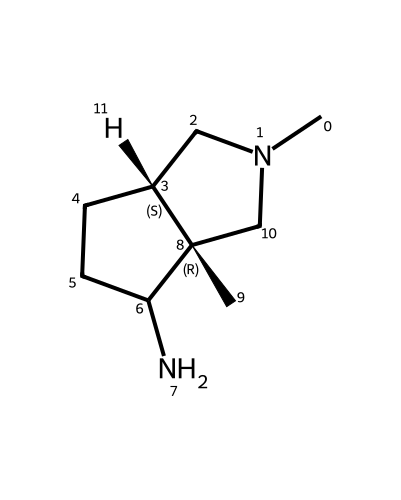 CN1C[C@H]2CCC(N)[C@@]2(C)C1